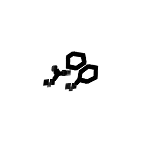 C1CCCCC1.NC(=O)O.NC1CCCCC1